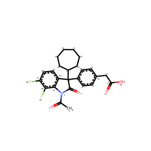 CC(=O)N1C(=O)C(c2ccc(CC(=O)O)cc2)(C2CCCCCC2)c2ccc(F)c(F)c21